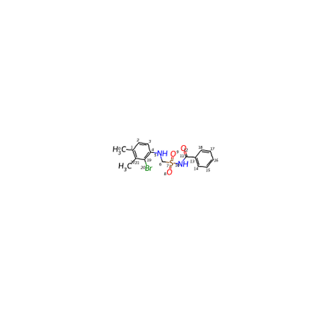 Cc1ccc(NCS(=O)(=O)NC(=O)c2ccccc2)c(Br)c1C